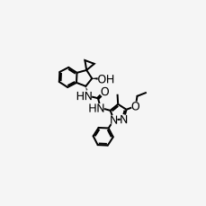 CCOc1nn(-c2ccccc2)c(NC(=O)N[C@@H]2c3ccccc3C3(CC3)[C@H]2O)c1C